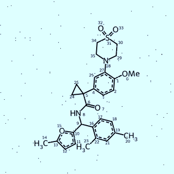 COc1ccc(C2(C(=O)NC(c3ccc(C)o3)c3ccc(C)cc3C)CC2)cc1N1CCS(=O)(=O)CC1